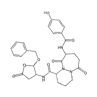 O=C1CC(NC(=O)C2CCCN3C(=O)CCC(NC(=O)c4ccc(O)cc4)C(=O)N23)C(OCc2ccccc2)O1